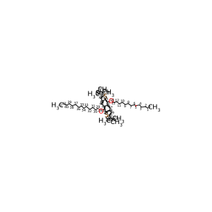 CCCCCCCCCCCCCCOc1c2cc3c[c]([Sn]([CH3])([CH3])[CH3])sc3c(OCCCCCCCCCCCCCC)c2cc2c[c]([Sn]([CH3])([CH3])[CH3])sc12